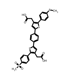 CSc1ccc(-c2sc(-c3ccc(-c4cc(CC(=O)O)c(-c5ccc(S(C)(=O)=O)cc5)s4)cc3)cc2CC(=O)O)cc1